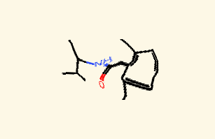 Cc1cccc(C)c1C(=O)NC(C)C(C)C